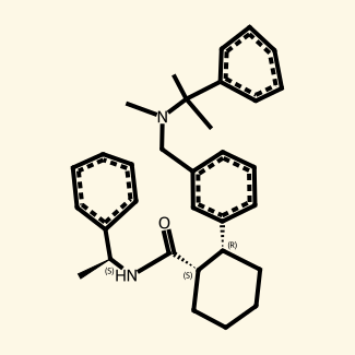 C[C@H](NC(=O)[C@H]1CCCC[C@H]1c1cccc(CN(C)C(C)(C)c2ccccc2)c1)c1ccccc1